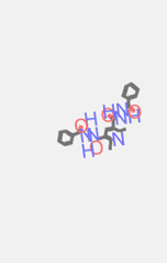 Cc1nc(C)c(C(=O)NNC(=O)c2ccccc2)cc1C(=O)NNC(=O)c1ccccc1